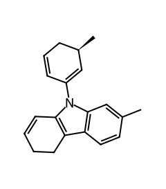 Cc1ccc2c3c(n(C4=C[C@H](C)CC=C4)c2c1)C=CCC3